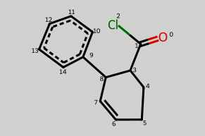 O=C(Cl)C1CCC=CC1c1ccccc1